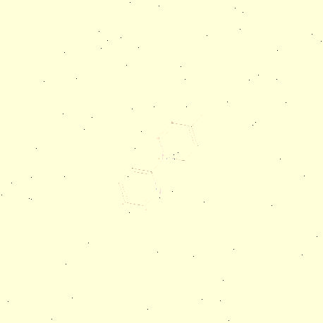 CC1=CCN(c2ccccn2)C=C1